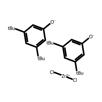 CC(C)(C)c1cc([O-])cc(C(C)(C)C)c1.CC(C)(C)c1cc([O-])cc(C(C)(C)C)c1.[Cl][Zr+2][Cl]